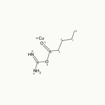 CCCCC(=O)OC(=N)N.[Cu]